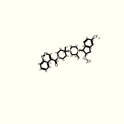 CCOC1Cc2cc(C(F)(F)F)ccc2C1N1CCN(C2(C)CCN(C(=O)c3cnnc4ccccc34)CC2)CC1C